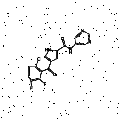 O=C(Nc1cncnc1)c1cc(C(=O)c2c(Cl)ccc(F)c2F)c[nH]1